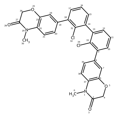 CN1C(=O)COc2cc(-c3cccc(-c4cccc(-c5ccc6c(c5)OCC(=O)N6C)c4Cl)c3Cl)ccc21